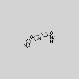 CC(C)NC(=O)C1CCN(Cc2cc(Oc3ccc4c(ccn4C)c3)ncn2)CC1